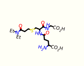 CCN(CC)C(=O)CCSCC(NC(=O)CCC(N)C(=O)O)C(=O)NCC(=O)O